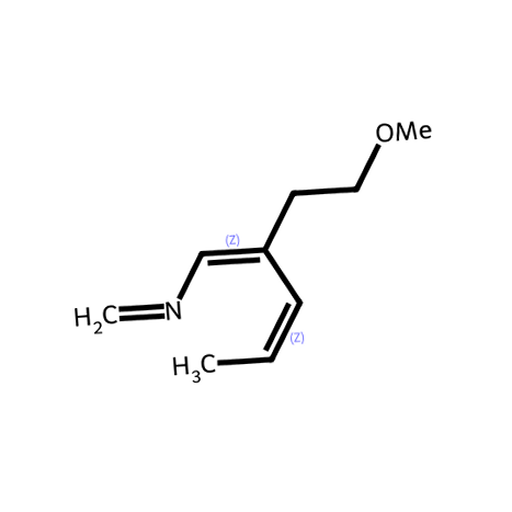 C=N/C=C(\C=C/C)CCOC